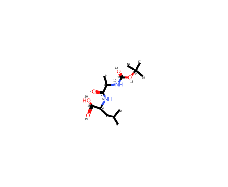 CC(C)CC(NC(=O)C(C)NC(=O)OC(C)(C)C)C(=O)O